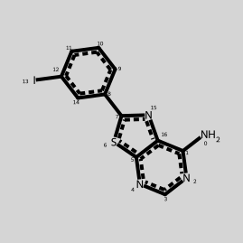 Nc1ncnc2sc(-c3cccc(I)c3)nc12